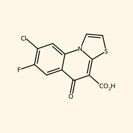 O=C(O)c1c(=O)c2cc(F)c(Cl)cc2n2ccsc12